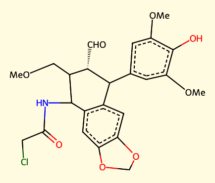 COCC1C(NC(=O)CCl)c2cc3c(cc2C(c2cc(OC)c(O)c(OC)c2)[C@H]1C=O)OCO3